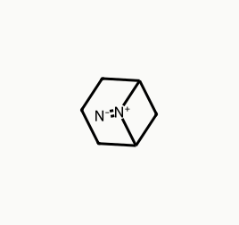 [N-]=[N+]1C2CCCC1C2